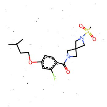 CC(C)CCOc1ccc(C(=O)N2CC3(C2)CN(S(C)(=O)=O)C3)c(F)c1